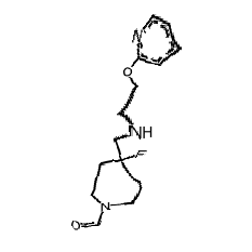 O=CN1CCC(F)(CNCCOc2ccccn2)CC1